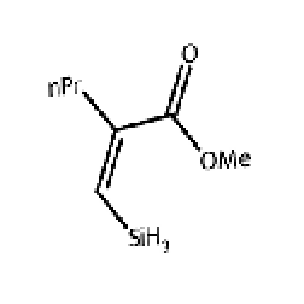 CCCC(=C[SiH3])C(=O)OC